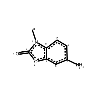 Cn1c(=O)oc2cc(N)ccc21